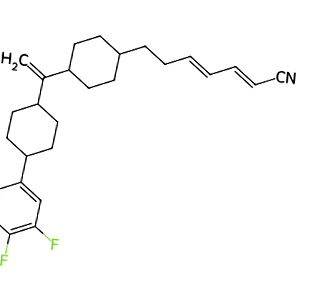 C=C(C1CCC(CCC=CC=CC#N)CC1)C1CCC(c2ccc(F)c(F)c2)CC1